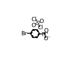 O=S(=O)(Cl)Cl.O=[N+]([O-])c1ccc(Br)cc1